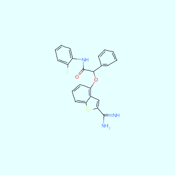 N=C(N)c1cc2c(OC(C(=O)Nc3ccccc3F)c3ccccc3)cccc2s1